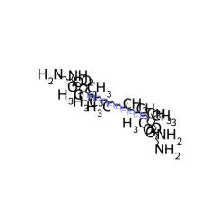 CC1=C(/C=C/C(C)=C/C=C/C(C)=C/C=C/C=C(C)/C=C/C=C(C)/C=C/C2=C(C)C(=O)C(OC(=O)C(N)CCCN)CC2(C)C)C(C)(C)CC(OC(=O)C(N)CCCN)C1=O